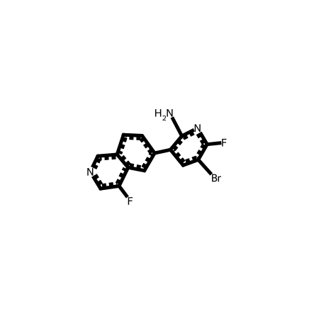 Nc1nc(F)c(Br)cc1-c1ccc2cncc(F)c2c1